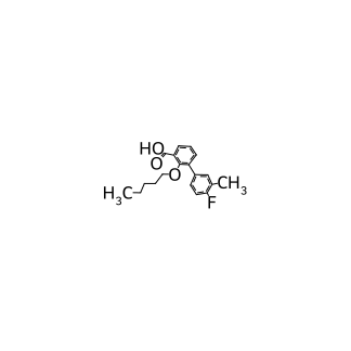 CCCCCOc1c(C(=O)O)cccc1-c1ccc(F)c(C)c1